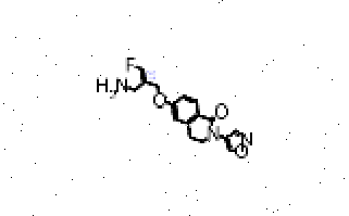 NC/C(=C\F)COc1ccc2c(c1)CCN(c1cnoc1)C2=O